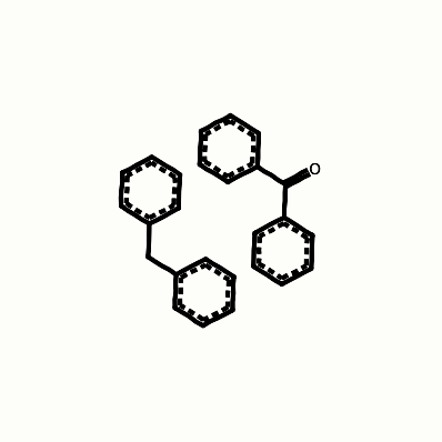 O=C(c1ccccc1)c1ccccc1.c1ccc(Cc2ccccc2)cc1